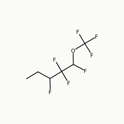 CCC(F)C(F)(F)[C](F)OC(F)(F)F